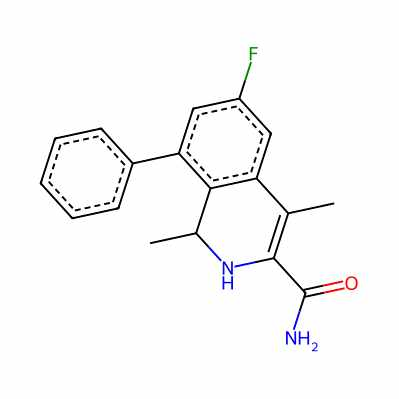 CC1=C(C(N)=O)NC(C)c2c1cc(F)cc2-c1ccccc1